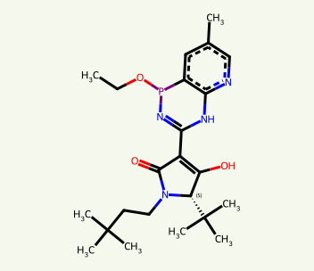 CCOP1N=C(C2=C(O)[C@H](C(C)(C)C)N(CCC(C)(C)C)C2=O)Nc2ncc(C)cc21